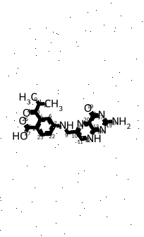 CC(C)C(=O)c1cc(NCc2c[nH]c3nc(N)nc(=O)c-3n2)ccc1C(=O)O